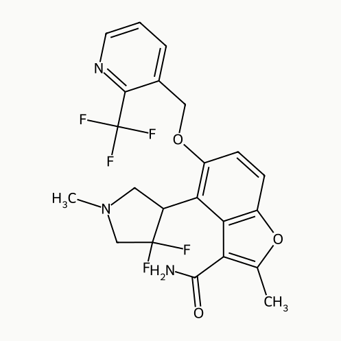 Cc1oc2ccc(OCc3cccnc3C(F)(F)F)c(C3CN(C)CC3(F)F)c2c1C(N)=O